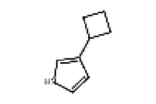 c1cc(C2CCC2)c[nH]1